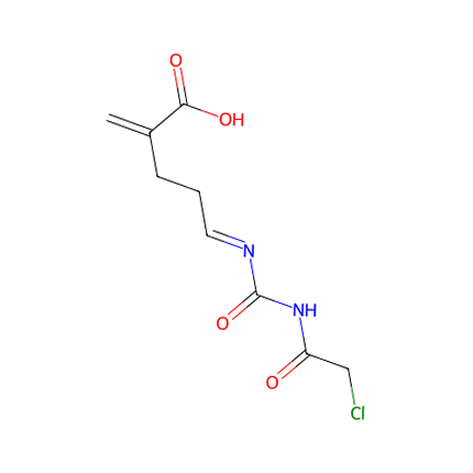 C=C(CCC=NC(=O)NC(=O)CCl)C(=O)O